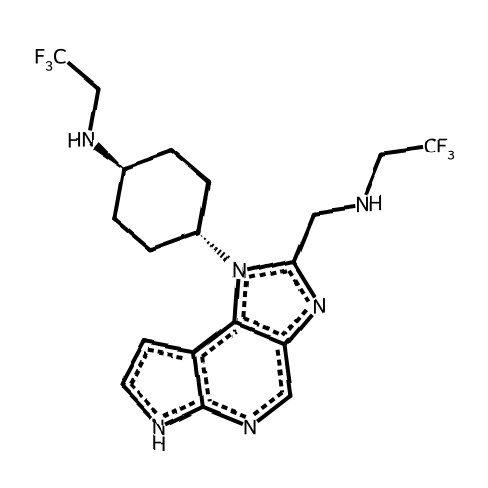 FC(F)(F)CNCc1nc2cnc3[nH]ccc3c2n1[C@H]1CC[C@H](NCC(F)(F)F)CC1